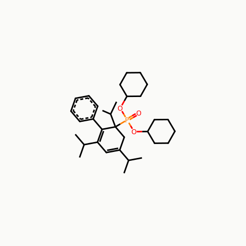 CC(C)C1=CC(C(C)C)=C(c2ccccc2)C(C(C)C)(P(=O)(OC2CCCCC2)OC2CCCCC2)C1